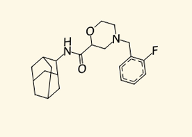 O=C(NC1C2CC3CC(C2)CC1C3)C1CN(Cc2ccccc2F)CCO1